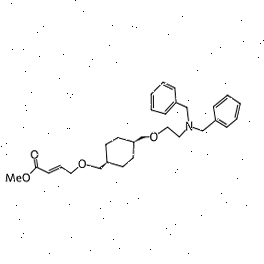 COC(=O)/C=C/COC[C@H]1CC[C@@H](COCCN(Cc2ccccc2)Cc2ccccc2)CC1